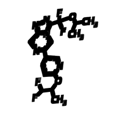 CC(C)OC(F)(F)c1nnc2cnc(-c3ccc(OC(C)C(F)F)nc3)cn12